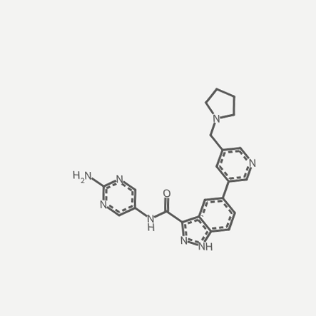 Nc1ncc(NC(=O)c2n[nH]c3ccc(-c4cncc(CN5CCCC5)c4)cc23)cn1